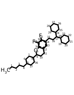 CCCCCC1CCC(C2CCc3cc(CCC(C4CCCCC4)C4CCCCC4)c(F)c(F)c3O2)CC1